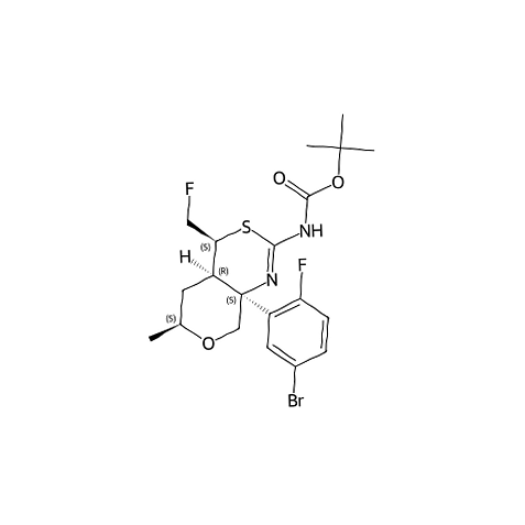 C[C@H]1C[C@H]2[C@@H](CF)SC(NC(=O)OC(C)(C)C)=N[C@@]2(c2cc(Br)ccc2F)CO1